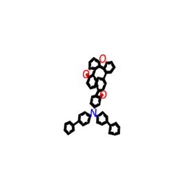 c1ccc(-c2ccc(N(c3ccc(-c4ccccc4)cc3)c3ccc4c(c3)oc3cc(-c5cccc6oc7ccc8oc9ccccc9c8c7c56)ccc34)cc2)cc1